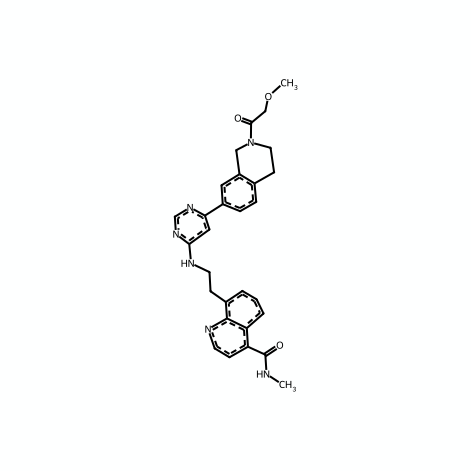 CNC(=O)c1ccnc2c(CCNc3cc(-c4ccc5c(c4)CN(C(=O)COC)CC5)ncn3)cccc12